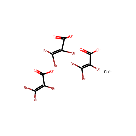 O=C([O-])C(Br)=C(Br)Br.O=C([O-])C(Br)=C(Br)Br.O=C([O-])C(Br)=C(Br)Br.[Ga+3]